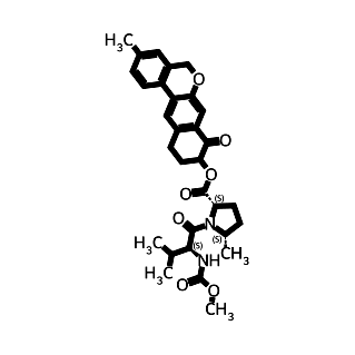 COC(=O)N[C@H](C(=O)N1[C@@H](C)CC[C@H]1C(=O)OC1CCc2cc3c(cc2C1=O)OCc1cc(C)ccc1-3)C(C)C